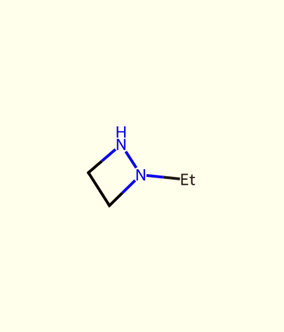 CCN1CCN1